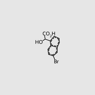 O=C(O)C(O)c1cccc2cc(Br)ccc12